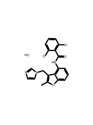 Cc1oc2cccc(NC(=O)c3c(Cl)cccc3Cl)c2c1Cn1ccnc1.Cl